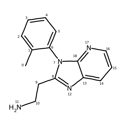 Cc1ccccc1-n1c(CCN)nc2cccnc21